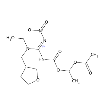 CCN(CC1CCOC1)/C(=N\[N+](=O)[O-])NC(=O)OC(C)OC(C)=O